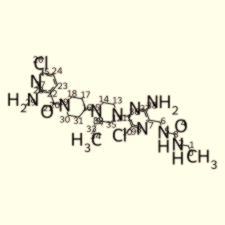 CCNC(=O)NCc1nc(Cl)c(N2CCN(C3CCN(C(=O)c4ccc(Cl)nc4N)CC3)[C@@H](CC)C2)nc1N